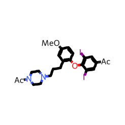 COc1ccc(Oc2c(I)cc(C(C)=O)cc2I)c(CCCN2CCN(C(C)=O)CC2)c1